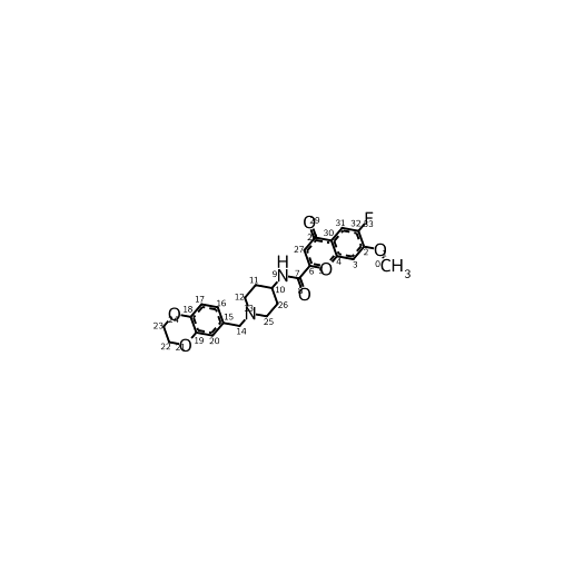 COc1cc2oc(C(=O)NC3CCN(Cc4ccc5c(c4)OCCO5)CC3)cc(=O)c2cc1F